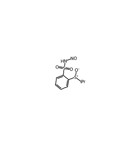 CC(C)[S+]([O-])c1ccccc1S(=O)(=O)NN=O